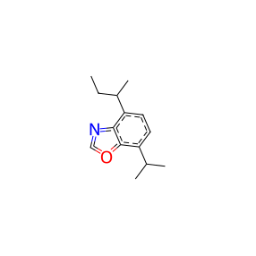 CCC(C)c1ccc(C(C)C)c2ocnc12